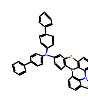 Cc1c(C)n2c3c(cccc13)B1c3ccc(N(c4ccc(-c5ccccc5)cc4)c4ccc(-c5ccccc5)cc4)cc3Sc3cccc-2c31